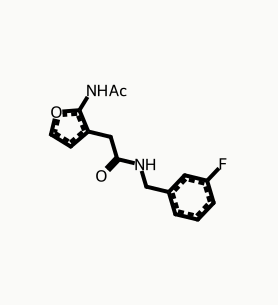 CC(=O)Nc1occc1CC(=O)NCc1cccc(F)c1